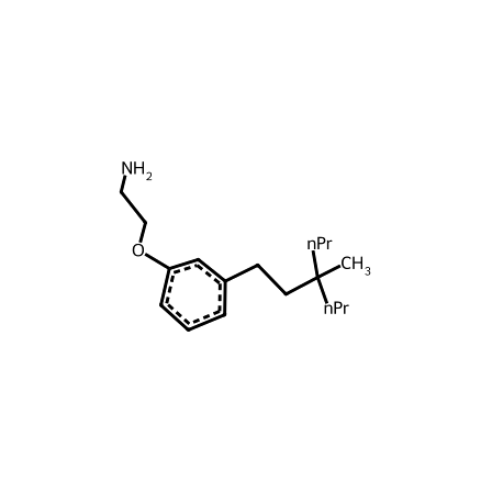 CCCC(C)(CCC)CCc1cccc(OCCN)c1